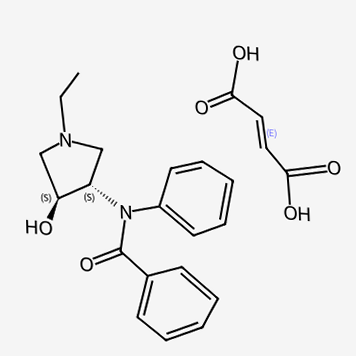 CCN1C[C@H](O)[C@@H](N(C(=O)c2ccccc2)c2ccccc2)C1.O=C(O)/C=C/C(=O)O